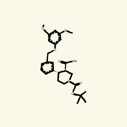 COc1cc(OC)cc(OCc2cccc([C@H]3CCN(C(=O)OC(C)(C)C)C[C@@H]3C(=O)O)c2)c1